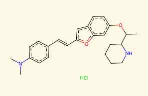 CC(Oc1ccc2cc(C=Cc3ccc(N(C)C)cc3)oc2c1)C1CCCCN1.Cl